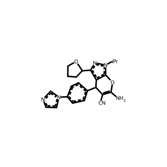 CC(C)n1nc(C2CCCO2)c2c1OC(N)=C(C#N)C2c1ccc(-n2ccnc2)cc1